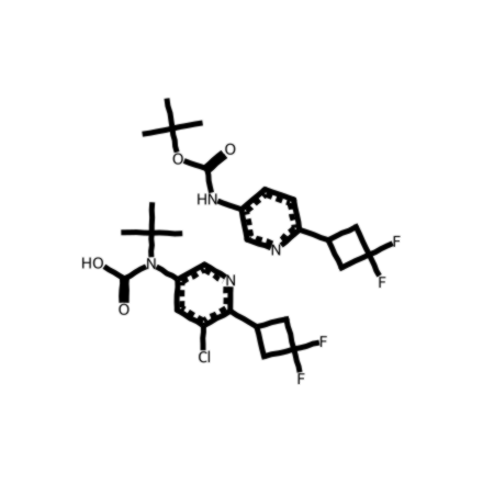 CC(C)(C)N(C(=O)O)c1cnc(C2CC(F)(F)C2)c(Cl)c1.CC(C)(C)OC(=O)Nc1ccc(C2CC(F)(F)C2)nc1